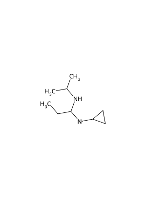 CCC([N]C1CC1)NC(C)C